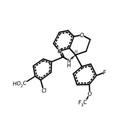 O=C(N[C@]1(c2ccc(OC(F)(F)F)c(F)c2)CCOc2cccnc21)c1ccc(C(=O)O)c(Cl)c1